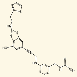 C#CC(=O)NCc1cccc(NCC#Cc2cc(O)c3nc(NCCc4nccs4)sc3c2)c1